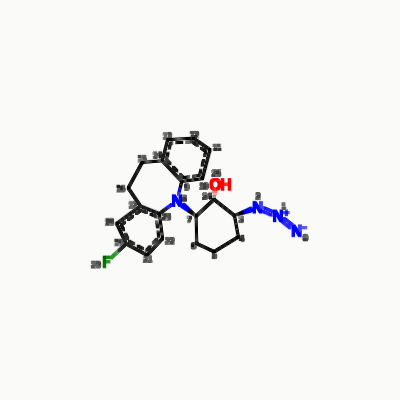 [N-]=[N+]=N[C@H]1CCC[C@@H](N2c3ccccc3CCc3cc(F)ccc32)[C@@H]1O